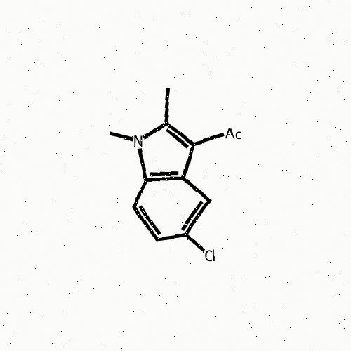 CC(=O)c1c(C)n(C)c2ccc(Cl)cc12